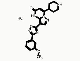 Cl.O=c1cc(C2CCNCC2)n2ncc(-c3nc(-c4cccc(OC(F)(F)F)c4)no3)c2[nH]1